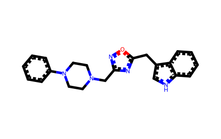 c1ccc(N2CCN(Cc3noc(Cc4c[nH]c5ccccc45)n3)CC2)cc1